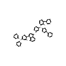 c1ccc(-c2ccc(N(c3cccc(Oc4ccc5c6c(cccc46)Oc4cc(N(c6ccccc6)c6ccccc6)ccc4-5)c3)c3cccc4c3oc3ccccc34)cc2)cc1